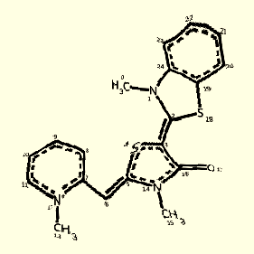 CN1/C(=c2\s/c(=C\c3cccc[n+]3C)n(C)c2=O)Sc2ccccc21